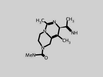 CNC(=O)N1CCN2C(C)=N[C@@H](C(C)=N)C(C)=C2C1